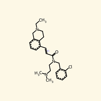 CCN1CCc2c(/C=C/C(=O)N(CCN(C)C)Cc3ccccc3Cl)cccc2C1